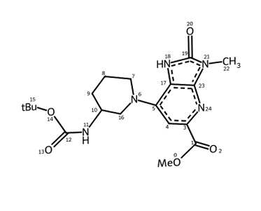 COC(=O)c1cc(N2CCCC(NC(=O)OC(C)(C)C)C2)c2[nH]c(=O)n(C)c2n1